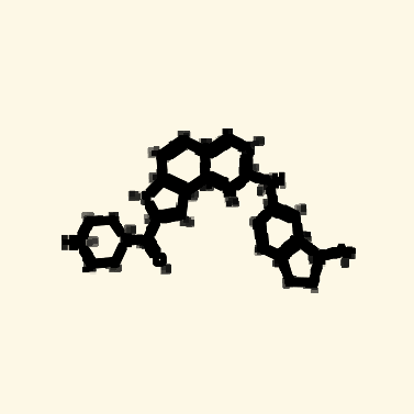 CC(=O)N1CCc2ccc(Nc3ncc4ccc5sc(C(=O)N6CCNCC6)cc5c4n3)cc21